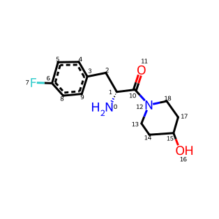 N[C@H](Cc1ccc(F)cc1)C(=O)N1CCC(O)CC1